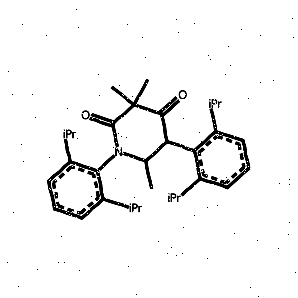 CC(C)c1cccc(C(C)C)c1C1C(=O)C(C)(C)C(=O)N(c2c(C(C)C)cccc2C(C)C)C1C